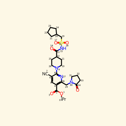 CC(C)OC(=O)c1cc(C#N)c(N2CCC(C(=O)NS(=O)(=O)CC3CCCC3)CC2)nc1CN1CCCC1=O